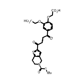 CC(C)(C)OC(=O)N1CCc2sc(C(=O)CCC(=O)c3ccc(OCC(=O)O)c(OCC(=O)O)c3)cc2C1